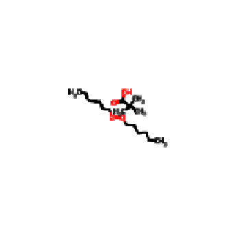 CC(C)(C)C(=O)O.CCCCCCOOCCCCCC